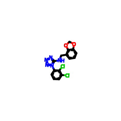 Clc1cccc(-n2nnnc2NCc2cccc3c2OCO3)c1Cl